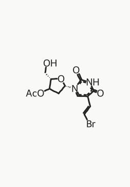 CC(=O)OC1C[C@@H](n2cc(/C=C/Br)c(=O)[nH]c2=O)O[C@H]1CO